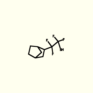 FC(F)(S)C(F)(F)C1CC2CCC1C2